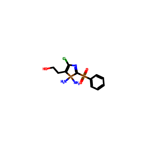 NS1(N)C(S(=O)(=O)c2ccccc2)=NC(Cl)=C1CCO